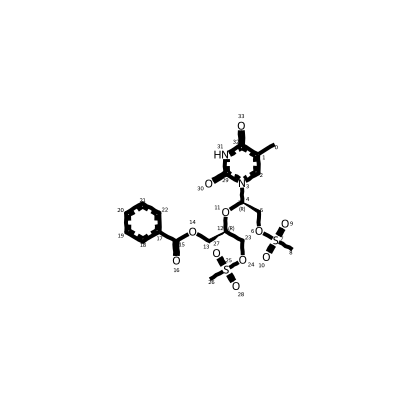 Cc1cn([C@@H](COS(C)(=O)=O)O[C@H](COC(=O)c2ccccc2)COS(C)(=O)=O)c(=O)[nH]c1=O